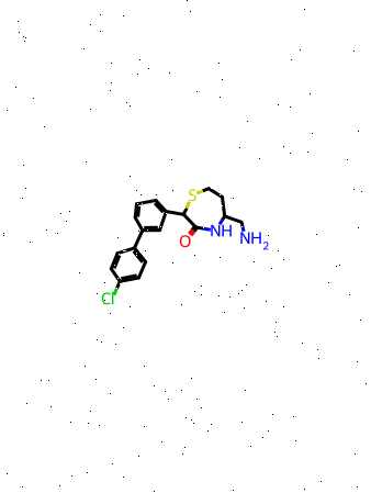 NCC1CCSC(c2cccc(-c3ccc(Cl)cc3)c2)C(=O)N1